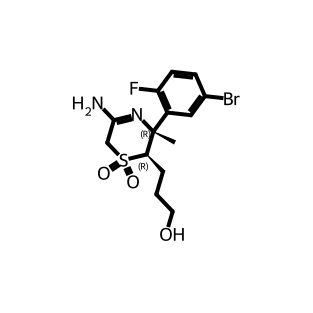 C[C@]1(c2cc(Br)ccc2F)N=C(N)CS(=O)(=O)[C@@H]1CCCO